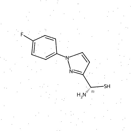 N[C@@H](S)c1ccn(-c2ccc(F)cc2)n1